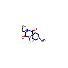 CCCN1CCC2(CC1)C(=O)NC(CC(C)C)C(=O)N2CCC